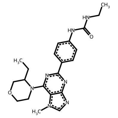 CCNC(=O)Nc1ccc(-c2nc(N3CCOCC3CC)c3c(ncn3C)n2)cc1